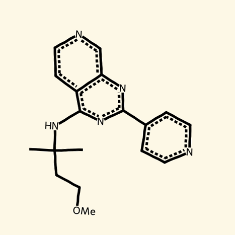 COCCC(C)(C)Nc1nc(-c2ccncc2)nc2cnccc12